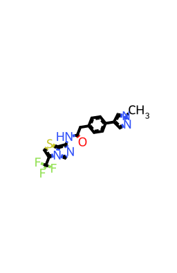 Cn1cc(-c2ccc(CC(=O)Nc3ncn4c(C(F)(F)F)csc34)cc2)cn1